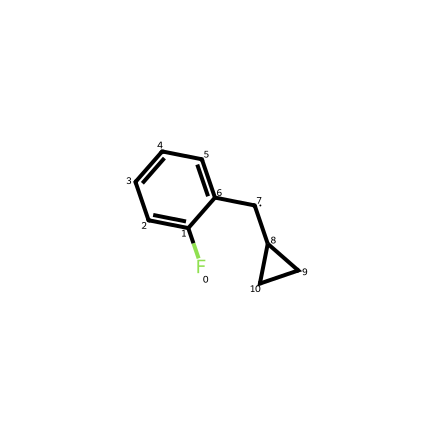 Fc1ccccc1[CH]C1CC1